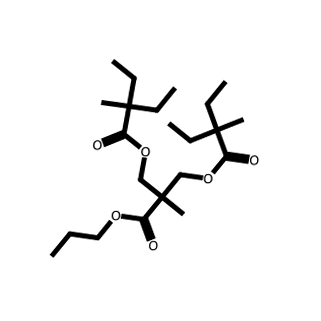 CCCOC(=O)C(C)(COC(=O)C(C)(CC)CC)COC(=O)C(C)(CC)CC